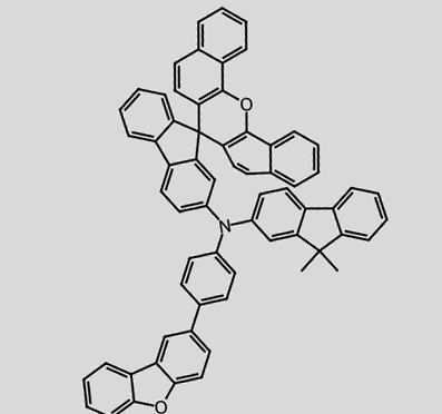 CC1(C)c2ccccc2-c2ccc(N(c3ccc(-c4ccc5oc6ccccc6c5c4)cc3)c3ccc4c(c3)C3(c5ccccc5-4)c4ccc5ccccc5c4Oc4c3ccc3ccccc43)cc21